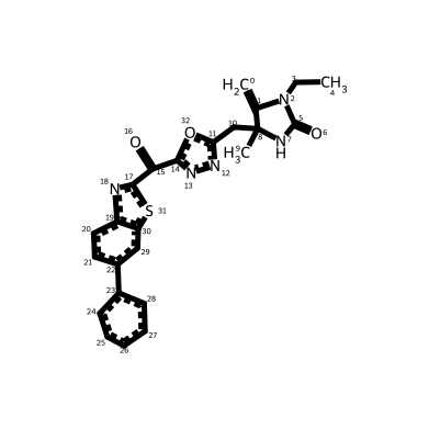 C=C1N(CC)C(=O)NC1(C)Cc1nnc(C(=O)c2nc3ccc(-c4ccccc4)cc3s2)o1